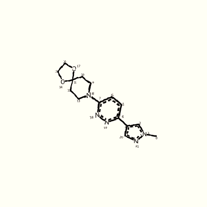 Cn1cc(-c2ccc(N3CCC4(CC3)OCCO4)nn2)cn1